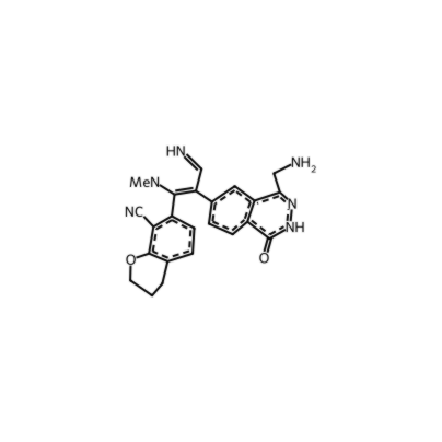 CN/C(=C(\C=N)c1ccc2c(=O)[nH]nc(CN)c2c1)c1ccc2c(c1C#N)OCCC2